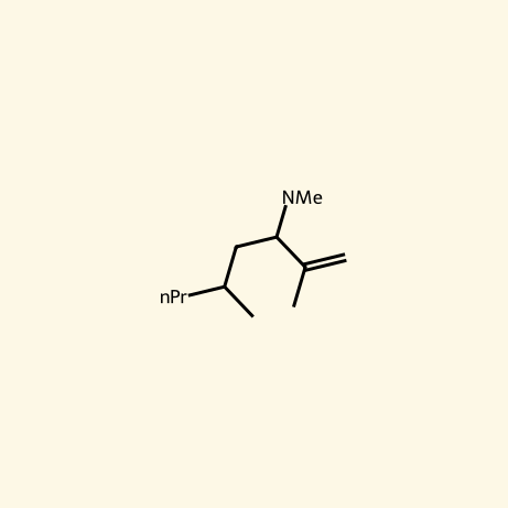 C=C(C)C(CC(C)CCC)NC